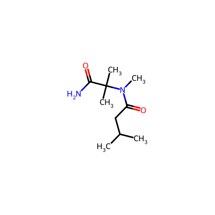 CC(C)CC(=O)N(C)C(C)(C)C(N)=O